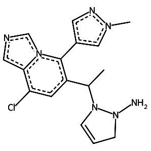 CC(c1cc(Cl)c2cncn2c1-c1cnn(C)c1)N1C=CCN1N